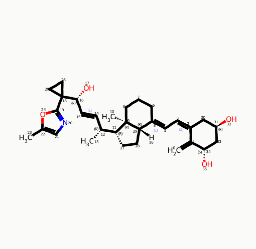 C=C1/C(=C\C=C2/CCC[C@]3(C)[C@@H]([C@H](C)/C=C/[C@@H](O)C4(c5ncc(C)o5)CC4)CC[C@@H]23)C[C@@H](O)C[C@@H]1O